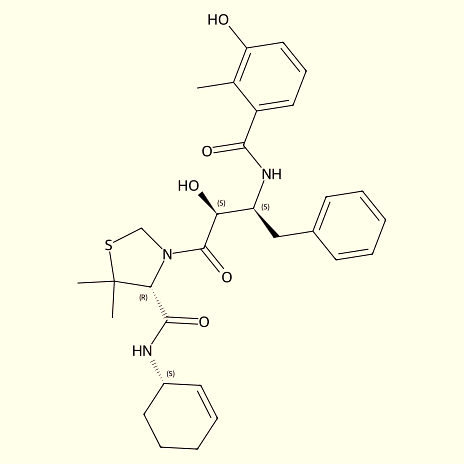 Cc1c(O)cccc1C(=O)N[C@@H](Cc1ccccc1)[C@H](O)C(=O)N1CSC(C)(C)[C@H]1C(=O)N[C@@H]1C=CCCC1